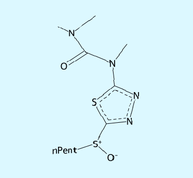 CCCCC[S+]([O-])c1nnc(N(C)C(=O)N(C)C)s1